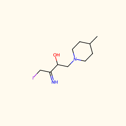 CC1CCN(CC(O)C(=N)CI)CC1